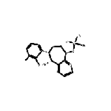 CC(C)[Si](O[C@@H]1CC[C@@H](c2cccc(F)c2F)[C@@H](Cl)c2cccnc21)(C(C)C)C(C)C